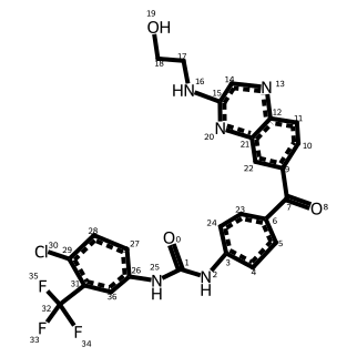 O=C(Nc1ccc(C(=O)c2ccc3ncc(NCCO)nc3c2)cc1)Nc1ccc(Cl)c(C(F)(F)F)c1